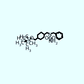 CC(C)(C)[Si](C)(C)OCC1CCC(CN(Cc2ccccc2)S(N)(=O)=O)CC1